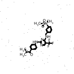 CN(C)C(=O)c1ccc(Nc2ncc(C(F)(F)F)c(NCc3cccc(N(C)S(C)(=O)=O)c3)n2)cc1